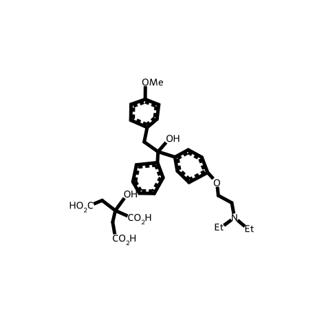 CCN(CC)CCOc1ccc(C(O)(Cc2ccc(OC)cc2)c2ccccc2)cc1.O=C(O)CC(O)(CC(=O)O)C(=O)O